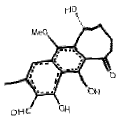 COc1c2c(c(O)c3c(O)c(C=O)c(C)cc13)C(=O)CC[C@H]2O